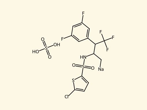 O=S(=O)(NC([CH2][Na])C(c1cc(F)cc(F)c1)C(F)(F)F)c1ccc(Cl)s1.O=S(=O)(O)O